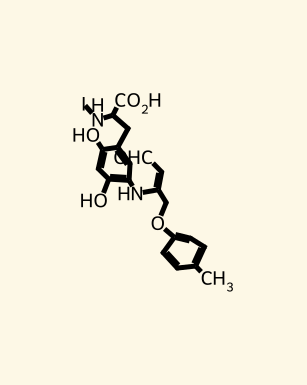 Cc1ccc(OCC(=CC=O)Nc2cc(CC(NI)C(=O)O)c(O)cc2O)cc1